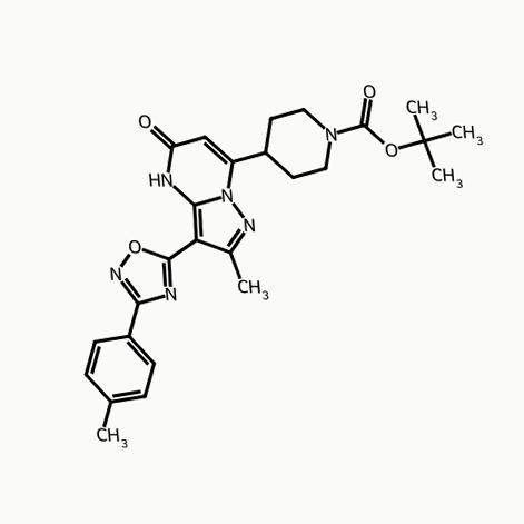 Cc1ccc(-c2noc(-c3c(C)nn4c(C5CCN(C(=O)OC(C)(C)C)CC5)cc(=O)[nH]c34)n2)cc1